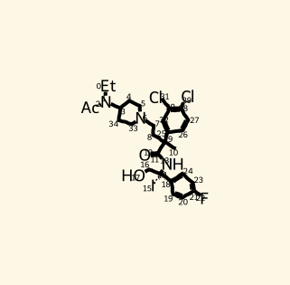 CCN(C(C)=O)C1CCN(CCC(C)(C(=O)N[C@](I)(CO)c2ccc(F)cc2)c2ccc(Cl)c(Cl)c2)CC1